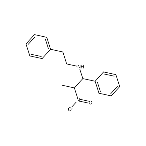 CC(C(NCCc1ccccc1)c1ccccc1)[N+](=O)[O-]